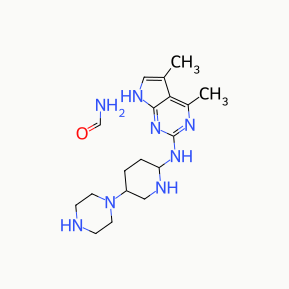 Cc1c[nH]c2nc(NC3CCC(N4CCNCC4)CN3)nc(C)c12.NC=O